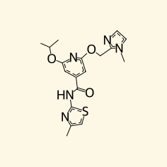 Cc1csc(NC(=O)c2cc(OCc3nccn3C)nc(OC(C)C)c2)n1